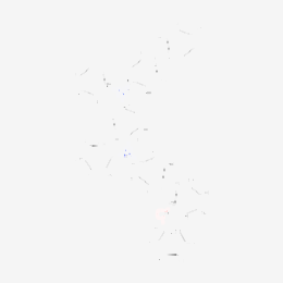 CCc1ccc(-c2ccc(N(c3ccccc3)c3ccc4c(c3)c3ccccc3n4-c3ccc(-c4cccc5c4oc4ccccc45)cc3)cc2)cc1